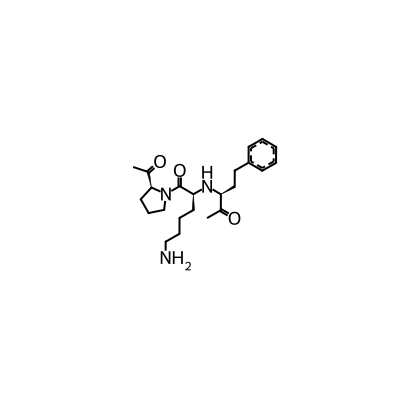 CC(=O)[C@H](CCc1ccccc1)N[C@@H](CCCCN)C(=O)N1CCC[C@H]1C(C)=O